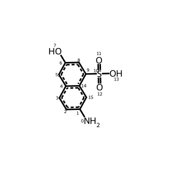 Nc1ccc2[c]c(O)cc(S(=O)(=O)O)c2c1